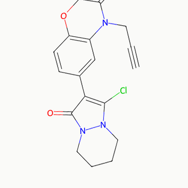 C#CCN1C(=O)COc2ccc(-c3c(Cl)n4n(c3=O)CCCC4)cc21